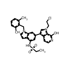 CCS(=O)(=O)Nc1cc(-c2cn(CCCl)c3c(O)nccc23)cc2c1ccn2Cc1c(C)cccc1C